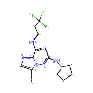 FC(F)(F)CCNc1cc(NC2CCCC2)nn2c(I)cnc12